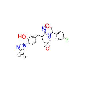 Cc1cn(-c2ccc(CC3CC4(COC4)CN4C3=NOCC4c3ccc(F)cc3)cc2O)cn1